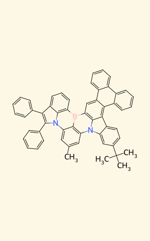 Cc1cc2c3c(c1)-n1c4cc(C(C)(C)C)ccc4c4c5c6ccccc6c6ccccc6c5cc(c41)B3c1cccc3c(-c4ccccc4)c(-c4ccccc4)n-2c13